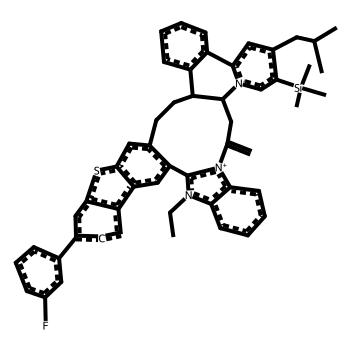 C=C1CC2C(CCc3cc4sc5cc(-c6cccc(F)c6)ccc5c4cc3-c3n(CC)c4ccccc4[n+]31)c1ccccc1-c1cc(CC(C)C)c([Si](C)(C)C)c[n+]12